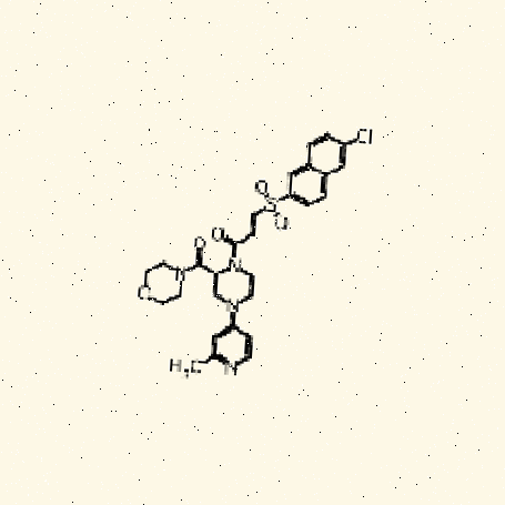 Cc1cc(N2CCN(C(=O)CCS(=O)(=O)c3ccc4cc(Cl)ccc4c3)C(C(=O)N3CCOCC3)C2)ccn1